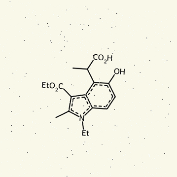 CCOC(=O)c1c(C)n(CC)c2ccc(O)c(C(C)C(=O)O)c12